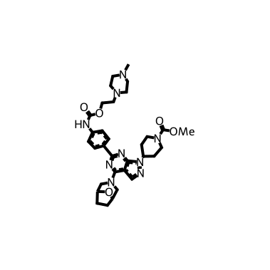 COC(=O)N1CCC(n2ncc3c(N4CC5CCC(C4)O5)nc(-c4ccc(NC(=O)OCCN5CCN(C)CC5)cc4)nc32)CC1